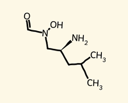 CC(C)C[C@H](N)CN(O)C=O